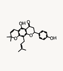 CC(C)=CCc1c2c(c(O)c3c1OC(c1ccc(O)cc1)CC3=O)C=CC(C)(C)O2